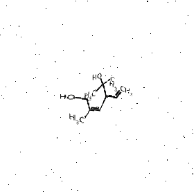 C=CC(C=C(C)CO)C(C)(C)O